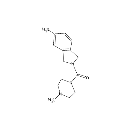 CN1CCN(C(=O)N2Cc3ccc(N)cc3C2)CC1